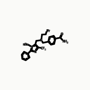 CCCCn1c(-c2ccccc2)nc(C(F)(F)F)c1CN(CCC(C)C)Cc1ccc(C(N)=O)cc1